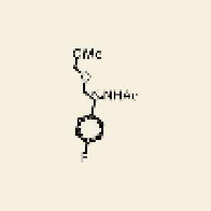 COCOC[C@@H](NC(C)=O)c1ccc(F)cc1